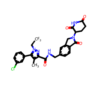 Cc1c(C(=O)NCc2ccc3c(c2)CN(C2CCC(=O)NC2=O)C3=O)nn(CC(F)(F)F)c1-c1cccc(Cl)c1